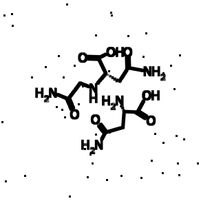 NC(=O)CN[C@@H](CC(N)=O)C(=O)O.NC(=O)C[C@H](N)C(=O)O